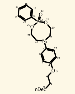 CCCCCCCCCCCCOc1ccc(N2CCOP(=O)(c3ccccc3)OCC2)cc1